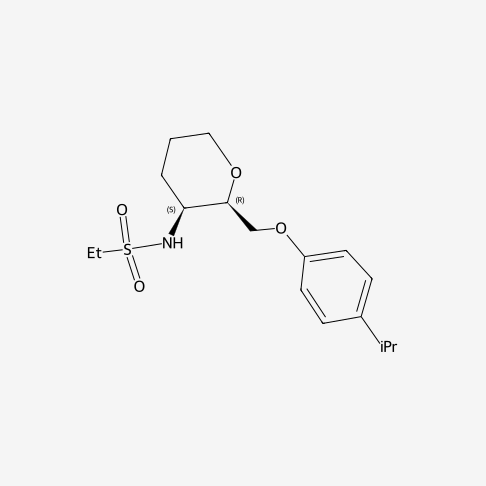 CCS(=O)(=O)N[C@H]1CCCO[C@H]1COc1ccc(C(C)C)cc1